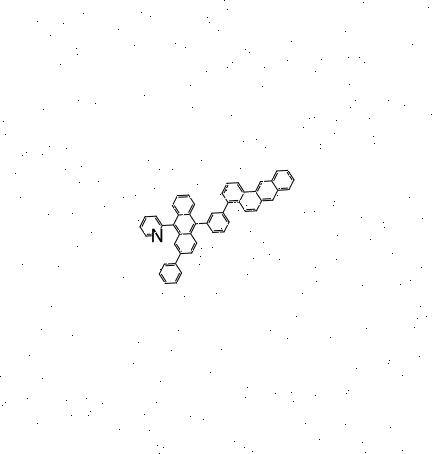 c1ccc(-c2ccc3c(-c4cccc(-c5cccc6c5ccc5cc7ccccc7cc56)c4)c4ccccc4c(-c4ccccn4)c3c2)cc1